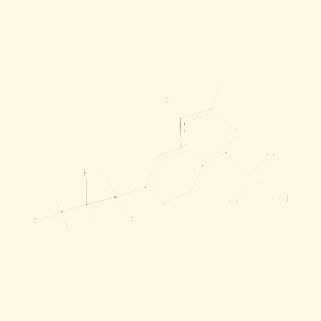 O=S(=O)(O)c1cc(F)c(F)c2cc(C(F)(F)C(F)(F)C(F)(F)F)ccc12